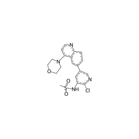 CS(=O)(=O)Nc1cc(-c2ccc3nccc(N4CCOCC4)c3c2)cnc1Cl